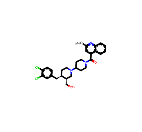 COc1cc(C(=O)N2CCC(N3CC[C@H](Cc4ccc(Cl)c(Cl)c4)[C@H](CO)C3)CC2)c2ccccc2n1